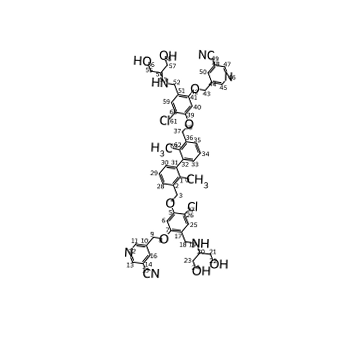 Cc1c(COc2cc(OCc3cncc(C#N)c3)c(CNC(CO)CO)cc2Cl)cccc1-c1cccc(COc2cc(OCc3cncc(C#N)c3)c(CNC(CO)CO)cc2Cl)c1C